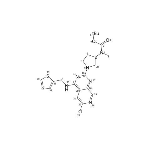 CN(C(=O)OC(C)(C)C)C1CCN(c2nc(NCc3cccs3)c3cc(Cl)ncc3n2)C1